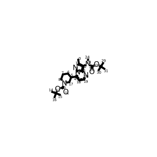 Cc1nn2c(C3CCCN(C(=O)OC(C)(C)C)C3)ccnc2c1N(C)C(=O)OC(C)(C)C